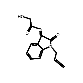 C=CCN1C(=O)/C(=N/C(=O)CO)c2ccccc21